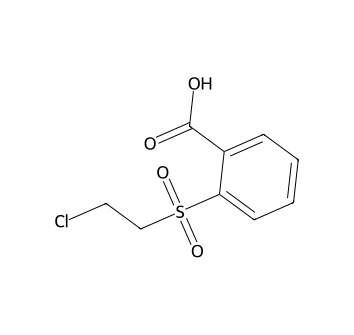 O=C(O)c1ccccc1S(=O)(=O)CCCl